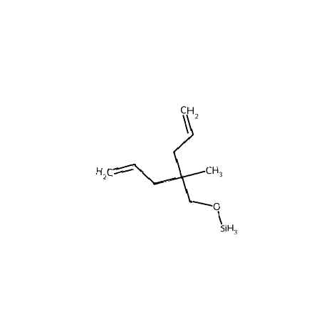 C=CCC(C)(CC=C)CO[SiH3]